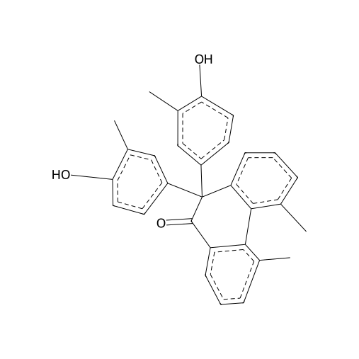 Cc1cc(C2(c3ccc(O)c(C)c3)C(=O)c3cccc(C)c3-c3c(C)cccc32)ccc1O